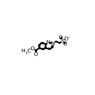 COC(=O)c1ccc2n[n+](CCS(=O)(=O)[O-])ccc2c1